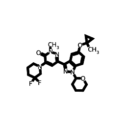 Cn1nc(-c2nn(C3CCCCO3)c3ccc(OC4(C)CC4)cc23)cc(N2CCCC(F)(F)C2)c1=O